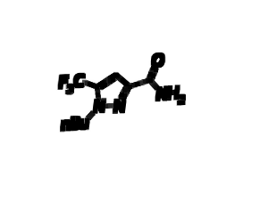 CCCCn1nc(C(N)=O)cc1C(F)(F)F